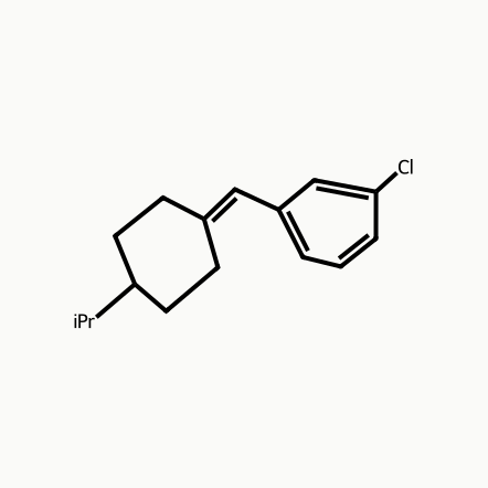 CC(C)C1CCC(=Cc2cccc(Cl)c2)CC1